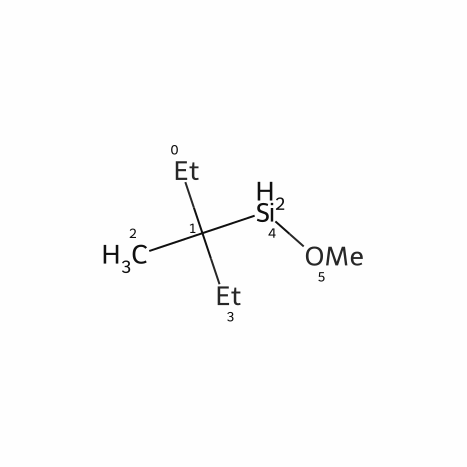 CCC(C)(CC)[SiH2]OC